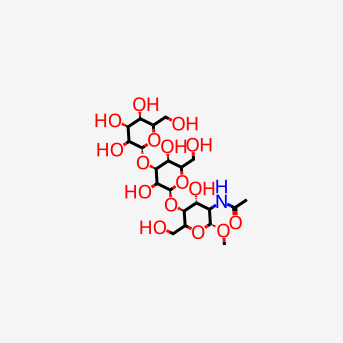 CO[C@@H]1OC(CO)[C@@H](O[C@@H]2OC(CO)[C@H](O)[C@H](O[C@H]3OC(CO)[C@H](O)[C@H](O)C3O)C2O)[C@H](O)C1NC(C)=O